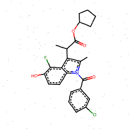 Cc1c(C(C)C(=O)OC2CCCC2)c2c(F)c(O)ccc2n1C(=O)c1cccc(Cl)c1